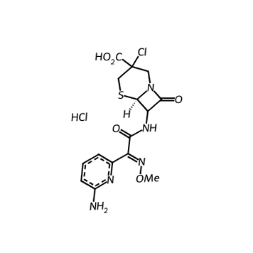 CON=C(C(=O)NC1C(=O)N2CC(Cl)(C(=O)O)CS[C@H]12)c1cccc(N)n1.Cl